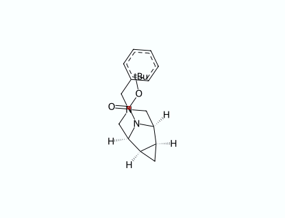 CC(C)(C)OC(=O)N1[C@@H]2CN(Cc3ccccc3)C[C@H]1[C@H]1C[C@H]12